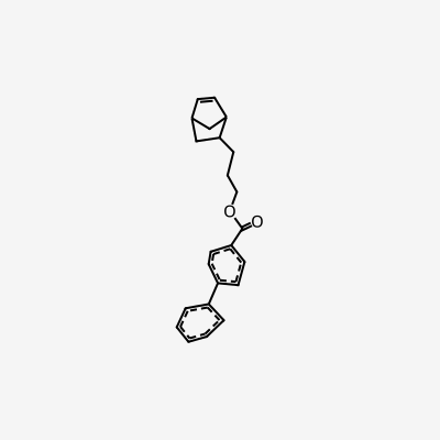 O=C(OCCCC1CC2C=CC1C2)c1ccc(-c2ccccc2)cc1